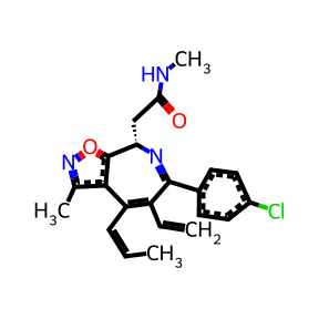 C=CC1=C(/C=C\C)c2c(C)noc2[C@H](CC(=O)NC)N=C1c1ccc(Cl)cc1